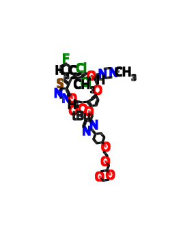 Cc1c(Cl)c2c(Cl)c(C)c1-c1c(-c3ccc(F)cc3)sc3ncnc(c13)O[C@@H](C(=O)OC(C)(C)C)Cc1cc(ccc1OCc1ccnc(C3CCC(OCCOCC4COCCO4)CC3)n1)OC[C@@H](CN1CCN(C)CC1)O2